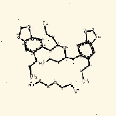 CCCc1cc2c(cc1CC(CCC)OC(CCC)Cc1cc3c(cc1CCC)OCO3)OCO2.OCCOCCO